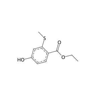 CCOC(=O)c1ccc(O)cc1SC